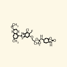 COc1cnc2c(-c3nc4c(Cl)c(F)c(OC[C@@H](C)OC(=O)Nc5ccc6[nH]c(=O)oc6c5)cc4s3)cc(C)cc2n1